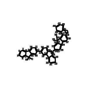 CC1(C)c2ccccc2-c2ccc(-c3ccc4c(c3)c3ccccc3n4-c3ccc4c(c3)C(C)(C)c3c-4ccc4oc5ccccc5c34)cc21